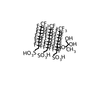 CC(O)C(O)CO.O=S(=O)(O)CCC(F)(F)C(F)(F)C(F)(F)C(F)(F)C(F)(F)C(F)(F)C(F)(F)C(F)(F)F.O=S(=O)(O)CCC(F)(F)C(F)(F)C(F)(F)C(F)(F)C(F)(F)C(F)(F)C(F)(F)C(F)(F)F.O=S(=O)(O)CCC(F)(F)C(F)(F)C(F)(F)C(F)(F)C(F)(F)C(F)(F)C(F)(F)C(F)(F)F